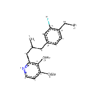 COc1ccnc(CC(C)Cc2ccc(CC(C)C)c(F)c2)c1OC